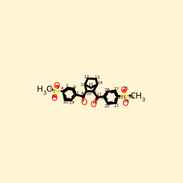 CS(=O)(=O)c1ccc(C(=O)C2C3CCC(C3)C2C(=O)c2ccc(S(C)(=O)=O)cc2)cc1